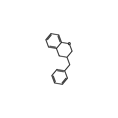 c1ccc(CC2COc3ccccc3C2)cc1